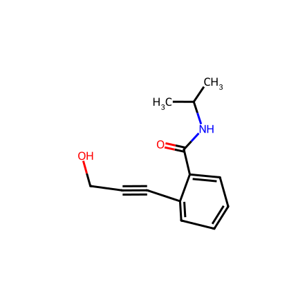 CC(C)NC(=O)c1ccccc1C#CCO